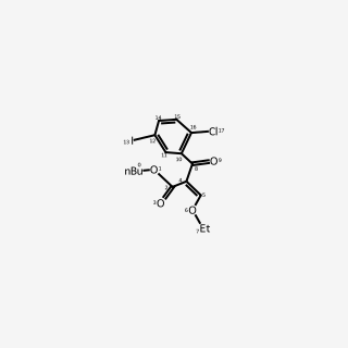 CCCCOC(=O)C(=COCC)C(=O)c1cc(I)ccc1Cl